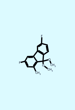 COC1(OC)c2ccc(F)cc2-c2cc(F)cc(C)c21